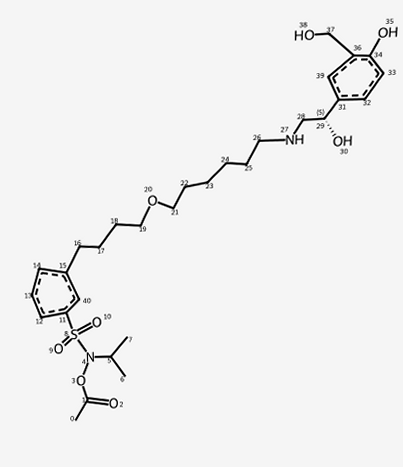 CC(=O)ON(C(C)C)S(=O)(=O)c1cccc(CCCCOCCCCCCNC[C@@H](O)c2ccc(O)c(CO)c2)c1